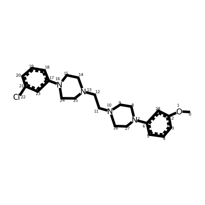 COc1cccc(N2CCN(CCN3CCN(c4cccc(Cl)c4)CC3)CC2)c1